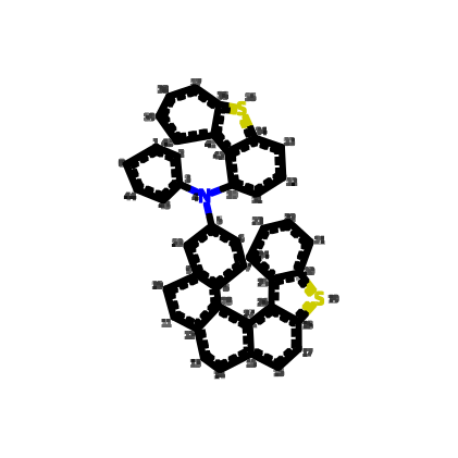 c1ccc(N(c2ccc3c(ccc4ccc5ccc6sc7ccccc7c6c5c43)c2)c2cccc3sc4ccccc4c23)cc1